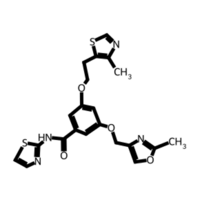 Cc1nc(COc2cc(OCCc3scnc3C)cc(C(=O)Nc3nccs3)c2)co1